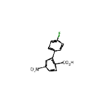 O=C(O)c1ccc([N+](=O)[O-])cc1-c1ccc(F)cc1